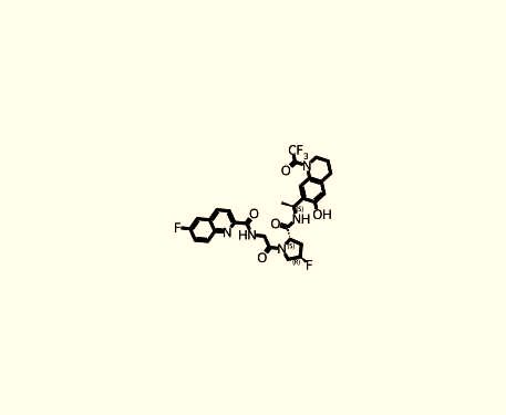 C[C@H](NC(=O)[C@@H]1C[C@@H](F)CN1C(=O)CNC(=O)c1ccc2cc(F)ccc2n1)c1cc2c(cc1O)CCCN2C(=O)C(F)(F)F